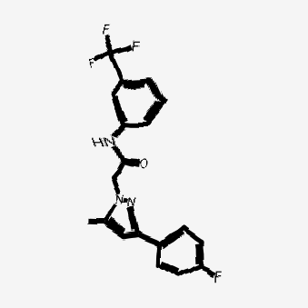 Cc1cc(-c2ccc(F)cc2)nn1CC(=O)Nc1cccc(C(F)(F)F)c1